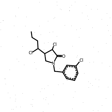 CCCC(Cl)C1CN(Cc2cccc(Cl)c2)C(=O)C1Cl